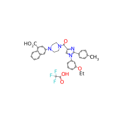 CCOc1cccc(-n2cc(C(=O)N3CCN(c4cc(C(=O)O)c5ccccc5c4)CC3)nc2-c2ccc(C)cc2)c1.O=C(O)C(F)(F)F